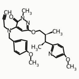 C#CCN(Cc1ccc(OC)cc1)c1cc(OC[C@@H](C)[C@H](C)c2ccc(OC)cn2)nn(C)c1=O